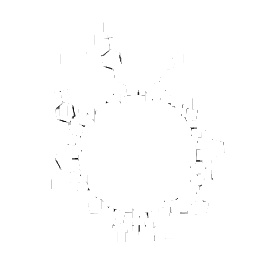 CCCC1C(=O)NC([C@@H](C)CC)C(=O)N2CCCC2C(=O)N(C)C2CC=CCCN(C2=O)C(Cc2ccc(C(F)(F)F)cc2)C(=O)N(C)CC(=O)NC(CCc2ccc(C(F)(F)F)c(OC)c2)C(=O)N2CC(OCC)CC2C(=O)N(C)C2(CCC2)C(=O)N(C)C(C2CCCC2)C(=O)N(C)C(C(=O)N2CCCC2)CC(=O)N1C